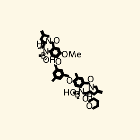 C=C1C[C@H]2[C@H](C)N(B(C)O)c3cc(OCc4cc(C)cc(COc5cc6c(cc5C)C(=O)N5CC(=C)C[C@H]5[C@H](OC5CCCCO5)N6B(C)O)c4)c(OC)cc3C(=O)N2C1